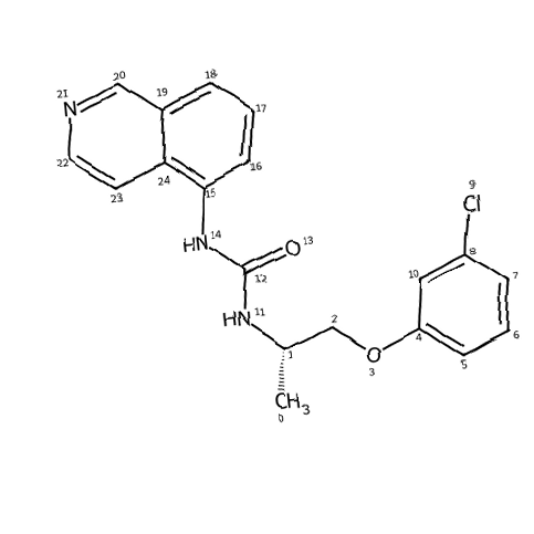 C[C@@H](COc1cccc(Cl)c1)NC(=O)Nc1cccc2cnccc12